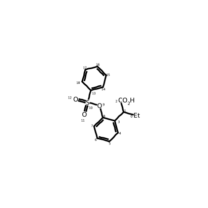 CCC(C(=O)O)c1ccccc1OS(=O)(=O)c1ccccc1